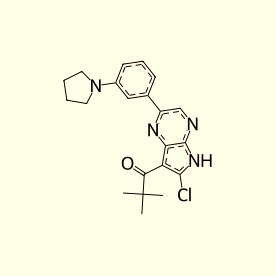 CC(C)(C)C(=O)c1c(Cl)[nH]c2ncc(-c3cccc(N4CCCC4)c3)nc12